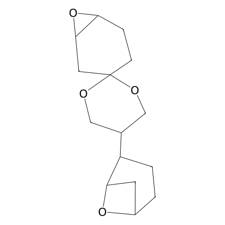 C1CC(C2COC3(CCC4OC4C3)OC2)C2CC1O2